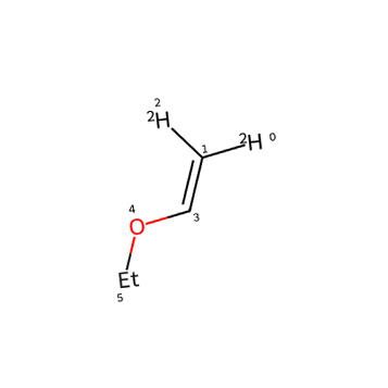 [2H]C([2H])=COCC